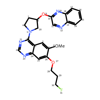 COc1cc2c(N3CCC(Oc4cnc5ccccc5n4)C3)ncnc2cc1OCCCF